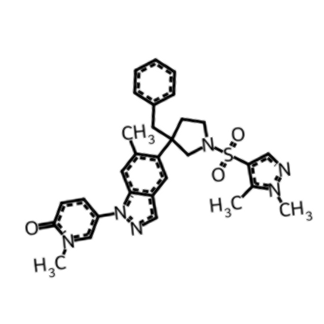 Cc1cc2c(cnn2-c2ccc(=O)n(C)c2)cc1C1(Cc2ccccc2)CCN(S(=O)(=O)c2cnn(C)c2C)C1